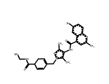 Cc1nn(CC2=CCC(C(=O)NCC(C)(C)C)C=C2)c(C)c1NC(=O)c1cc(C(F)(F)F)nc2ccc(Br)cc12